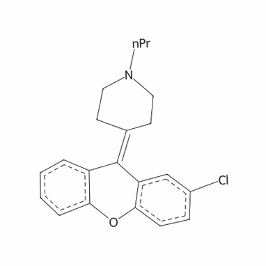 CCCN1CCC(=C2c3ccccc3Oc3ccc(Cl)cc32)CC1